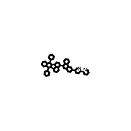 c1ccc(-c2c3c(c(-c4ccccc4)c4ccccc24)-c2ccc(-c4cc5ccc(-c6ccc(-c7ccccn7)nc6)cc5c5ccccc45)c4cccc-3c24)cc1